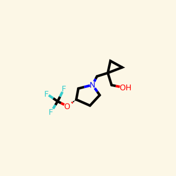 OCC1(CN2CC[C@H](OC(F)(F)F)C2)CC1